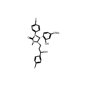 COc1ccc([C@@H]2[C@@H](CCC(O)c3ccc(F)cc3)N(C)C(=O)N2c2ccc(F)cc2)c(O)c1